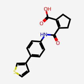 O=C(O)C1=C(C(=O)Nc2ccc(-c3ccsc3)cc2)CCC1